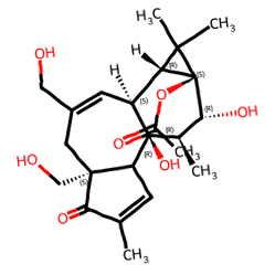 CC(=O)O[C@@]12[C@H](O)[C@@H](C)[C@]3(O)C4C=C(C)C(=O)[C@@]4(CO)CC(CO)=C[C@H]3[C@@H]1C2(C)C